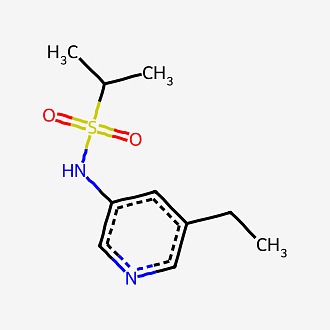 CCc1cncc(NS(=O)(=O)C(C)C)c1